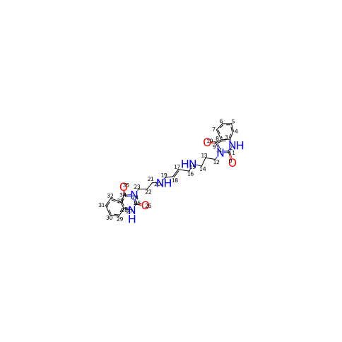 O=c1[nH]c2ccccc2c(=O)n1CCCNCC=CCNCCCn1c(=O)[nH]c2ccccc2c1=O